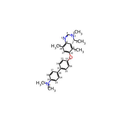 CCN(C)/C=N\c1cc(C)c(Oc2ccc(-c3ccc(N(C)C)cc3)cc2)cc1C